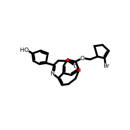 Oc1ccc(/C2=N/C(c3ccc(OCC4CCC=C4Br)cc3)=C/CCCOCC2)cc1